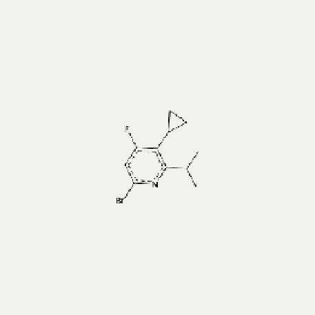 CC(C)c1nc(Br)cc(F)c1C1CC1